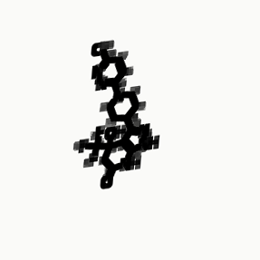 O=C1CC(O)(C(F)(F)F)c2c(C3CCN(c4ccc(Cl)nn4)CC3)n[nH]c2N1